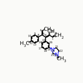 C=C/C(C)=C(/C(=C\C)c1ccc(C)cc1)c1cccc(N2CCN(C)C2)c1